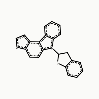 c1ccc2c(c1)CC(n1c3ccccc3c3c4ccsc4ccc31)S2